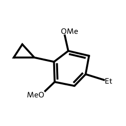 CCc1cc(OC)c(C2CC2)c(OC)c1